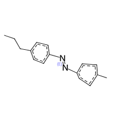 CCCc1ccc(/N=N/c2ccc(C)cc2)cc1